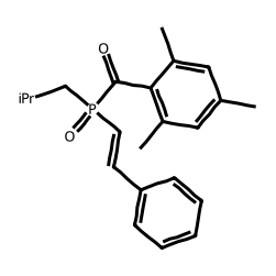 Cc1cc(C)c(C(=O)P(=O)(C=Cc2ccccc2)CC(C)C)c(C)c1